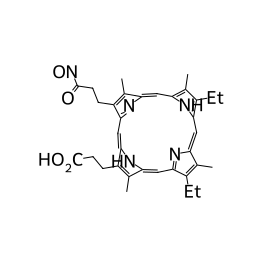 CCC1=C(C)c2cc3[nH]c(cc4nc(cc5[nH]c(cc1n2)c(C)c5CCC(=O)O)C(CCC(=O)N=O)=C4C)c(C)c3CC